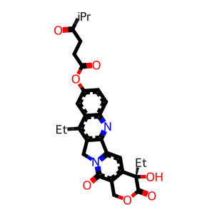 CCc1c2c(nc3ccc(OC(=O)CCC(=O)C(C)C)cc13)-c1cc3c(c(=O)n1C2)COC(=O)[C@]3(O)CC